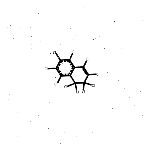 ClC1=C(Cl)C(Cl)(Cl)C(Cl)(Cl)c2c(Cl)c(Cl)c(Cl)c(Cl)c21